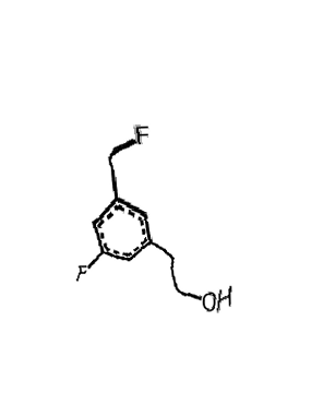 OCCc1cc(F)cc(CF)c1